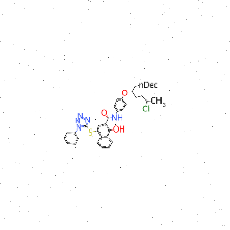 CCCCCCCCCCCC(CCC(C)Cl)Oc1ccc(NC(=O)c2cc(Sc3nnnn3-c3ccccc3)c3ccccc3c2O)cc1